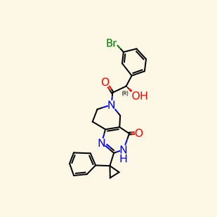 O=C([C@H](O)c1cccc(Br)c1)N1CCc2nc(C3(c4ccccc4)CC3)[nH]c(=O)c2C1